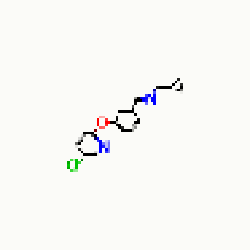 Clc1ccc(Oc2cccc(/C=N/CC3CC3)c2)nc1